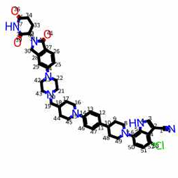 N#Cc1c[nH]c2c(N3CCC(c4ccc(N5CCC(CN6CCN(c7ccc8c(c7)CN([C@H]7CCC(=O)NC7=O)C8=O)CC6)CC5)cc4)CC3)ccc(Cl)c12